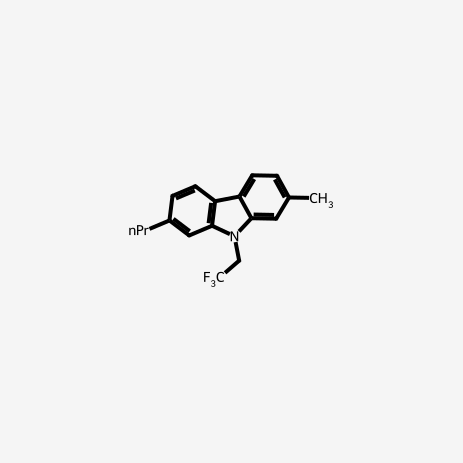 CCCc1ccc2c3ccc(C)cc3n(CC(F)(F)F)c2c1